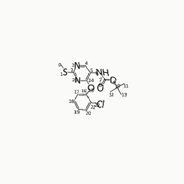 CSc1ncc(NC(=O)OC(C)(C)C)c(Oc2ccccc2Cl)n1